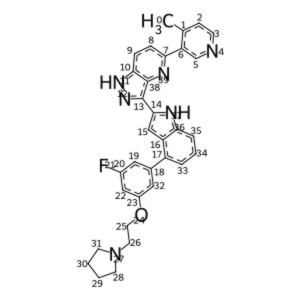 Cc1ccncc1-c1ccc2[nH]nc(-c3cc4c(-c5cc(F)cc(OCCN6CCCC6)c5)cccc4[nH]3)c2n1